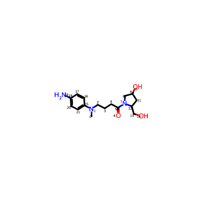 CN(CCCC(=O)N1CC(O)CC1CO)c1ccc(N)cc1